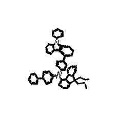 CCCC1(CCC)c2ccccc2-c2c(N(c3ccc(-c4ccccc4)cc3)c3ccc(-c4cccc5c4c4ccccc4n5-c4ccccc4)cc3)cccc21